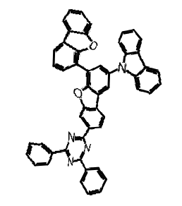 c1ccc(-c2nc(-c3ccccc3)nc(-c3ccc4c(c3)oc3c(-c5cccc6c5oc5ccccc56)cc(-n5c6ccccc6c6ccccc65)cc34)n2)cc1